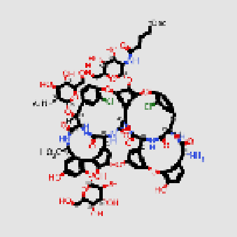 CCCCCCCCCCCCCC(=O)NC1[C@H](Oc2c3cc4cc2Oc2ccc(cc2Cl)[C@@H](O[C@@H]2OC(CO)[C@@H](O)C(O)[C@@H]2NC(C)=O)[C@@H]2NC(=O)[C@H](NC(=O)[C@@H]4NC(=O)[C@H]4NC(=O)[C@@H](Cc5ccc(c(Cl)c5)O3)NC(=O)[C@H](N)c3ccc(O)c(c3)Oc3cc(O)cc4c3)c3ccc(O)c(c3)-c3c(O[C@H]4OC(CO)[C@@H](O)[C@@H](O)C4O)cc(O)cc3[C@@H](C(=O)O)NC2=O)OC(CO)[C@@H](O)[C@@H]1O